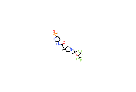 CC(C)(CN1CCC2(CC1)CC2C(=O)Nc1ccc(P(C)(C)=O)nc1)OC(C(F)(F)F)C(F)(F)F